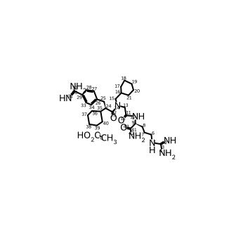 CC(=O)O.N=C(N)NCCC[C@H](NC(=O)CN(CC1CCCCC1)C(=O)[C@H](Cc1ccc(C(=N)N)cc1)C1CCCCC1)C(N)=O